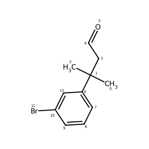 CC(C)(CC=O)c1cccc(Br)c1